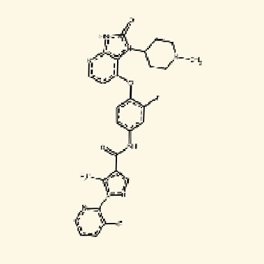 CN1CCC(n2c(=O)[nH]c3nccc(Oc4ccc(NC(=O)c5cnn(-c6ncccc6F)c5C(F)(F)F)cc4F)c32)CC1